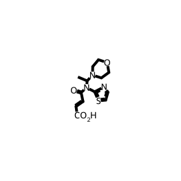 CC(N1CCOCC1)N(C(=O)C=CC(=O)O)c1nccs1